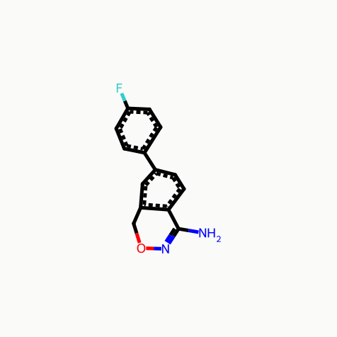 NC1=NOCc2cc(-c3ccc(F)cc3)ccc21